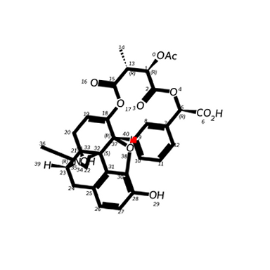 CC(=O)O[C@@H](C(=O)O[C@@H](C(=O)O)c1ccccc1)[C@@H](C)C(=O)OC1=CC[C@@]2(O)[C@H]3Cc4ccc(O)c5c4[C@@]2(CCN3C)[C@H]1O5